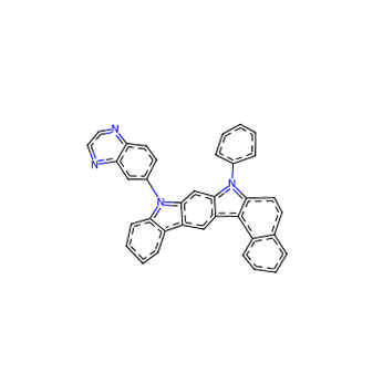 c1ccc(-n2c3cc4c(cc3c3c5ccccc5ccc32)c2ccccc2n4-c2ccc3nccnc3c2)cc1